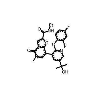 CCNC(=O)c1cc2c(=O)n(C)cc(-c3cc(C(C)(C)O)cnc3Oc3ccc(F)cc3F)c2o1